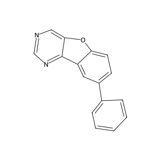 c1ccc(-c2ccc3oc4cncnc4c3c2)cc1